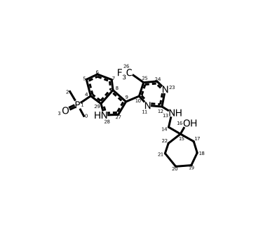 CP(C)(=O)c1cccc2c(-c3nc(NCC4(O)CCCCCC4)ncc3C(F)(F)F)c[nH]c12